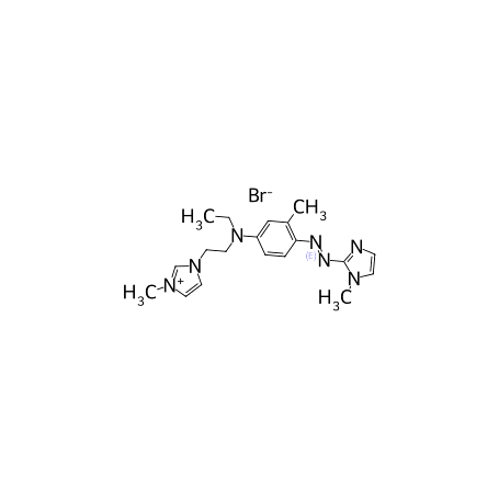 CCN(CCn1cc[n+](C)c1)c1ccc(/N=N/c2nccn2C)c(C)c1.[Br-]